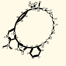 CN(C)c1ncc2nc1-c1cc(no1)-c1ccccc1OCCOCCOCCN(C)S(=O)(=O)c1ccc-2cc1